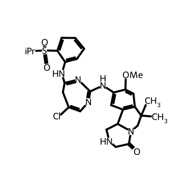 COc1cc2c(cc1NC1=NC=C(Cl)CC(Nc3ccccc3S(=O)(=O)C(C)C)=N1)C1CNCC(=O)N1CC2(C)C